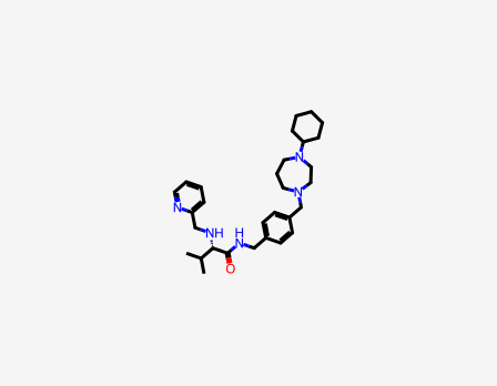 CC(C)[C@H](NCc1ccccn1)C(=O)NCc1ccc(CN2CCCN(C3CCCCC3)CC2)cc1